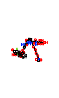 CCCC1O[C@]2(C(=O)COC(=O)OCc3ccc(NC(=O)CNC(=O)C(NC(=O)[C@@H](CCC(=O)NC[C@H](O)[C@@H](O)[C@H](O)CCO)NC(=O)CCOCCOCCOCCOCCN4C(=O)C=CC4=O)C(C)C)cc3)[C@@](C)(CC3[C@@H]4C[C@H](F)C5=CC(=O)C=C[C@]5(C)[C@@]4(F)[C@@H](O)C[C@@]32C)O1